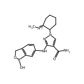 C/N=C1\CCCCC1n1cc(C(N)=O)c(Nc2ccc3c(c2)B(O)OC3)n1